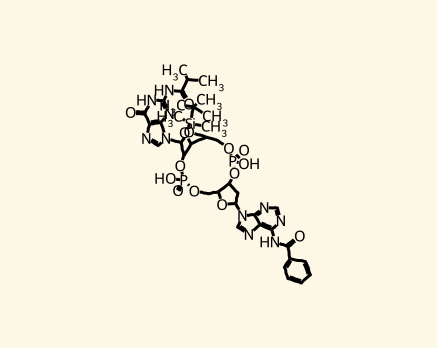 CC(C)C(=O)Nc1nc2c(ncn2C2OC3COP(=O)(O)OC4CC(n5cnc6c(NC(=O)c7ccccc7)ncnc65)OC4COP(=O)(O)OC2C3O[Si](C)(C)C(C)(C)C)c(=O)[nH]1